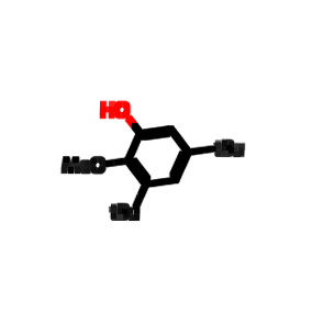 COc1c(O)cc(C(C)(C)C)cc1C(C)(C)C